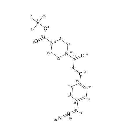 CC(C)(C)OC(=O)N1CCN(C(=O)COc2ccc(N=[N+]=[N-])cc2)CC1